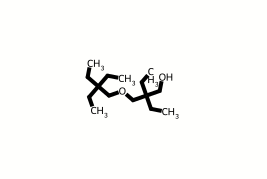 CCC(CC)(CC)COCC(CC)(CC)CO